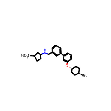 CC(C)(C)[C@H]1CC[C@H](Oc2cccc(-c3cccc(CNC4CCC(C(=O)O)C4)c3)c2)CC1